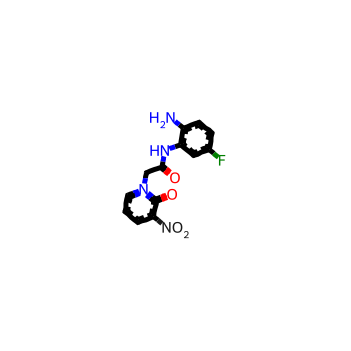 Nc1ccc(F)cc1NC(=O)Cn1cccc([N+](=O)[O-])c1=O